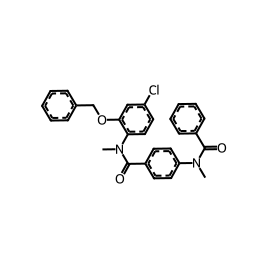 CN(C(=O)c1ccccc1)c1ccc(C(=O)N(C)c2ccc(Cl)cc2OCc2ccccc2)cc1